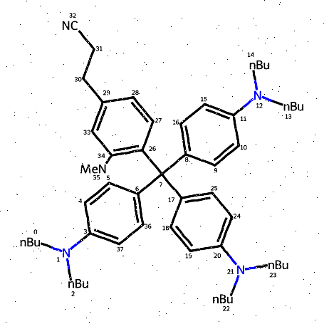 CCCCN(CCCC)c1ccc(C(c2ccc(N(CCCC)CCCC)cc2)(c2ccc(N(CCCC)CCCC)cc2)c2ccc(CCC#N)cc2NC)cc1